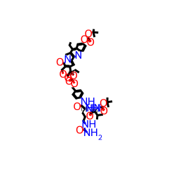 CCc1c2c(nc3ccc(OC(=O)OC(C)(C)C)cc13)-c1cc3c(c(=O)n1C2)COC(=O)[C@@]3(CC)OC(=O)OCc1ccc(NC(=O)[C@H](CCCNC(N)=O)NC(=O)[C@@H](NC(=O)OC(C)(C)C)C(C)C)cc1